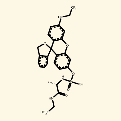 C[C@H](NP(=O)(Oc1ccc2c(c1)Oc1cc(NCC(F)(F)F)ccc1C21OCc2ccccc21)C(C)(C)C)C(=O)NCC(=O)O